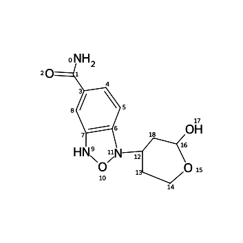 NC(=O)c1ccc2c(c1)NON2C1CCOC(O)C1